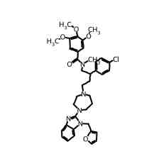 COc1cc(C(=O)N(C)CC(CCN2CCCN(c3nc4ccccc4n3Cc3ccco3)CC2)c2ccc(Cl)cc2)cc(OC)c1OC